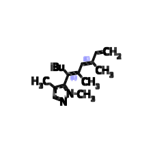 C=C/C(C)=C/C(C)=C(/c1c(C)cnn1C)C(C)CC